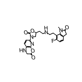 CN1C(=O)Cc2ccc(F)c(CCNCCC3CN(c4ccc5c(n4)OC(=O)CN5)C(=O)O3)c21